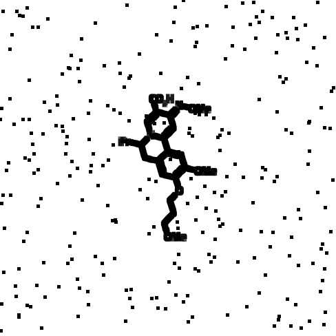 COCCCOc1cc2c(cc1OC)-c1cc(=NOC)c(C(=O)O)cn1C(C(C)C)C2